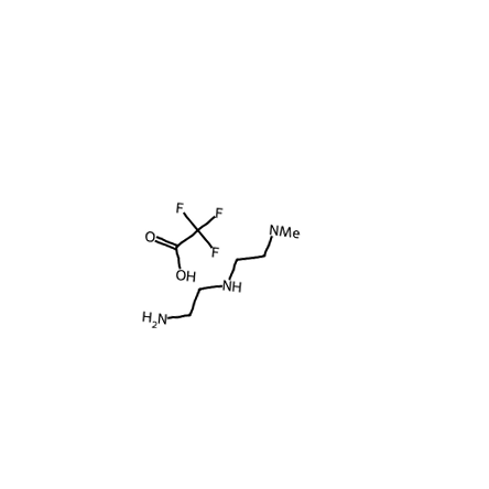 CNCCNCCN.O=C(O)C(F)(F)F